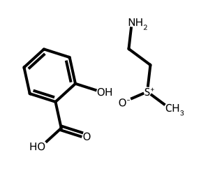 C[S+]([O-])CCN.O=C(O)c1ccccc1O